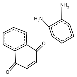 Nc1ccccc1N.O=C1C=CC(=O)c2ccccc21